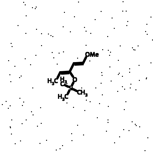 CC=C(C=COC)O[Si](C)(C)C